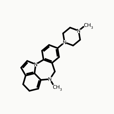 CN1CCN(c2ccc3c(c2)CN(C)C2=CCCc4ccn-3c42)CC1